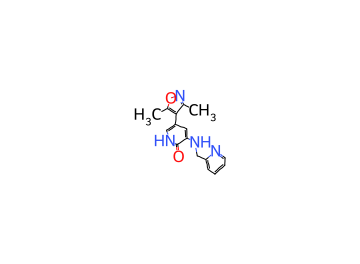 Cc1noc(C)c1-c1c[nH]c(=O)c(NCc2ccccn2)c1